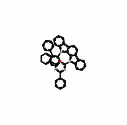 C1=CC(c2nc(-c3ccccc3)nc(-n3c4ccccc4c4ccc5c6ccccc6n(-c6ccccc6-c6ccccc6)c5c43)n2)=CCC1